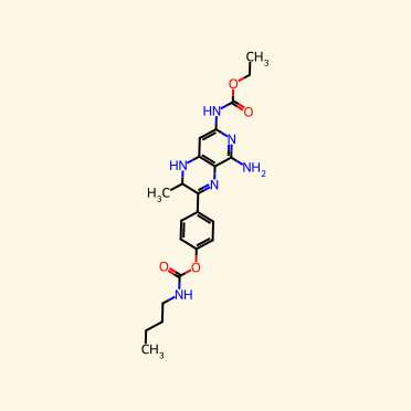 CCCCNC(=O)Oc1ccc(C2=Nc3c(cc(NC(=O)OCC)nc3N)NC2C)cc1